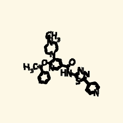 C[C@H](Oc1ncc(C(=O)Nc2nnc(-c3ccncc3)s2)cc1N1CCN(C)CC1)c1ccccc1